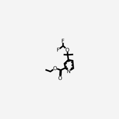 CCOC(=O)c1cc(C(C)(C)OC(F)F)ccn1